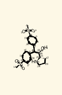 CS(=O)(=O)c1ccc(C(c2ccc(S(C)(=O)=O)cc2)[C@@H](O)[C@@H]2CCCN2)cc1